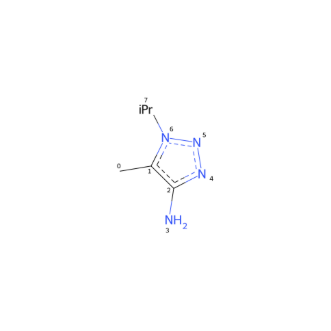 Cc1c(N)nnn1C(C)C